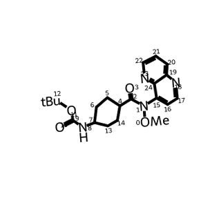 CON(C(=O)C1CCC(NC(=O)OC(C)(C)C)CC1)c1ccnc2cccnc12